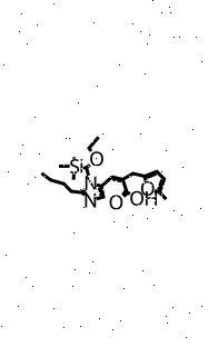 CCCCc1ncc(/C=C(/Cc2ccc(C)o2)C(=O)O)n1C(OCC)[Si](C)(C)C